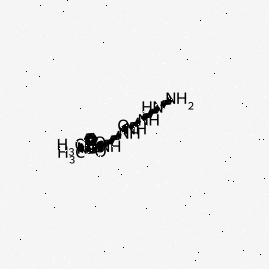 CN(C)c1ccc(S(=O)(=O)NCCCCCNC(=O)NCCCNCCCCNCCCN)c2ccccc12